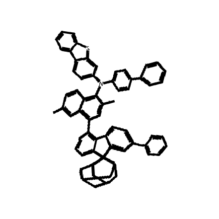 Cc1ccc2c(N(c3ccc(-c4ccccc4)cc3)c3ccc4c(c3)sc3ccccc34)c(C)cc(-c3cccc4c3-c3ccc(-c5ccccc5)cc3C43C4CC5CC(C4)CC3C5)c2c1